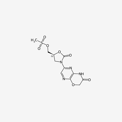 CS(=O)(=O)OC[C@@H]1CN(c2cnc3c(n2)NC(=O)CO3)C(=O)O1